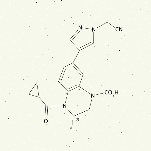 C[C@H]1CN(C(=O)O)c2cc(-c3cnn(CC#N)c3)ccc2N1C(=O)C1CC1